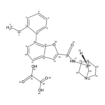 COc1ccccc1-c1cccc2cc(C(=O)N[C@H]3CN4CCC3CC4)oc12.O=C(O)C(=O)O